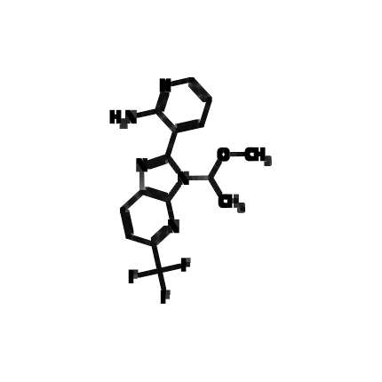 COC(C)n1c(-c2cccnc2N)nc2ccc(C(F)(F)F)nc21